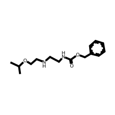 CC(C)OCCNCCNC(=O)OCc1ccccc1